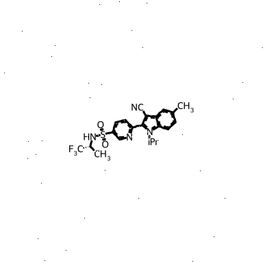 Cc1ccc2c(c1)c(C#N)c(-c1ccc(S(=O)(=O)N[C@H](C)C(F)(F)F)cn1)n2C(C)C